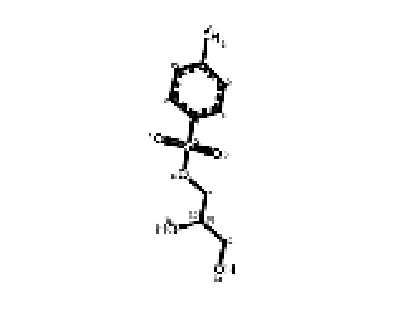 Cc1ccc(S(=O)(=O)OC[C@H](O)CO)cc1